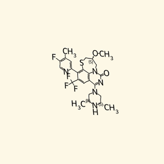 CO[C@@H]1CSc2c(-c3cc(C)c(F)cn3)c(C(F)(F)F)cc3c(N4C[C@@H](C)N[C@@H](C)C4)nc(=O)n(c23)C1